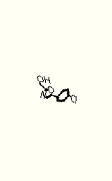 OCc1ncc(-c2ccc(Cl)cc2)o1